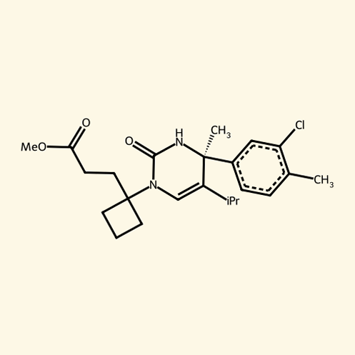 COC(=O)CCC1(N2C=C(C(C)C)[C@](C)(c3ccc(C)c(Cl)c3)NC2=O)CCC1